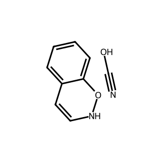 C1=Cc2ccccc2ON1.N#CO